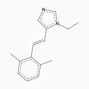 CCn1cncc1C=Cc1c(C)cccc1C